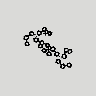 CC1(C)c2ccccc2-c2cccc(-c3ccc(N(c4cccc(-c5cccc(-c6ccccc6)c5)c4)c4cccc(-c5ccc(-c6ccc7c(c6)C(c6ccccc6)(c6ccccc6)c6cc(-c8ccc(N(c9cccc(-c%10cccc(-c%11ccccc%11)c%10)c9)c9cccc(-c%10cccc%11ccccc%10%11)c9)cc8)ccc6-7)c6ccccc56)c4)cc3)c21